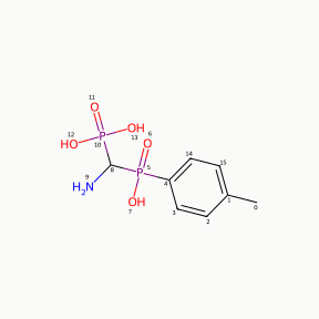 Cc1ccc(P(=O)(O)C(N)P(=O)(O)O)cc1